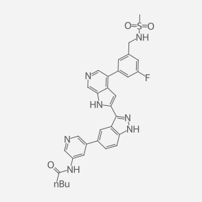 CCCCC(=O)Nc1cncc(-c2ccc3[nH]nc(-c4cc5c(-c6cc(F)cc(CNS(C)(=O)=O)c6)cncc5[nH]4)c3c2)c1